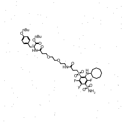 CCCCOC(=O)[C@H](Cc1ccc(OCCCC)cc1)NC(=O)CCOCCOCCNC(=O)CCS(=O)(=O)c1c(F)c(F)c(S(N)(=O)=O)c(F)c1NC1CCCCCCC1